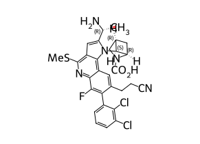 CSc1nc2c(F)c(-c3cccc(Cl)c3Cl)c(CCC#N)cc2c2c1cc([C@@H](C)N)n2[C@H]1[C@@H]2C[C@H]1N(C(=O)O)C2